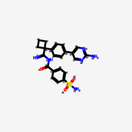 N=C(NC(=O)c1ccc(S(N)(=O)=O)cc1)C1(c2ccc(-c3cnc(N)nc3)cc2)CCC1